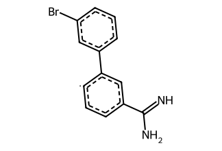 N=C(N)c1cc[c]c(-c2cccc(Br)c2)c1